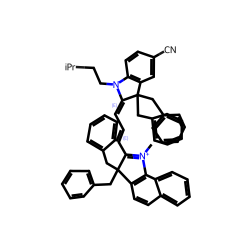 CC(C)CCN1/C(=C/C=C/C2=[N+](C)c3c(ccc4ccccc34)C2(Cc2ccccc2)Cc2ccccc2)C(Cc2ccccc2)(Cc2ccccc2)c2cc(C#N)ccc21